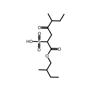 CCC(C)COC(=O)C(CC(=O)C(C)CC)S(=O)(=O)O